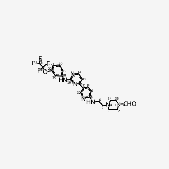 O=CN1CCN(CCNc2ccc(-c3ccnc(Nc4cccc(OC(F)(F)C(F)F)c4)n3)cn2)CC1